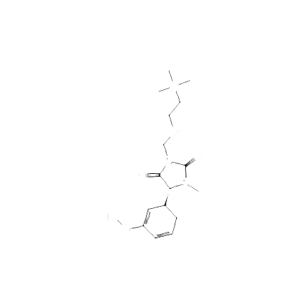 CC(C)OC1=CC([C@H]2C(=O)N(COCC[Si](C)(C)C)C(=O)N2I)CC=C1